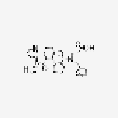 CN(C(=O)c1ccccc1-c1ccccc1C(=O)N(CCC(=O)O)CCc1cccs1)c1cccnc1